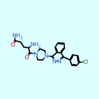 NC(=O)CCC(N)C(=O)N1CCN(c2nnc(-c3ccc(Cl)cc3)c3ccccc23)CC1